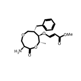 COC(=O)/C=C/O[C@@H]1[C@@H](Cc2ccccc2)COC[C@H](N)C(=O)O[C@H]1C